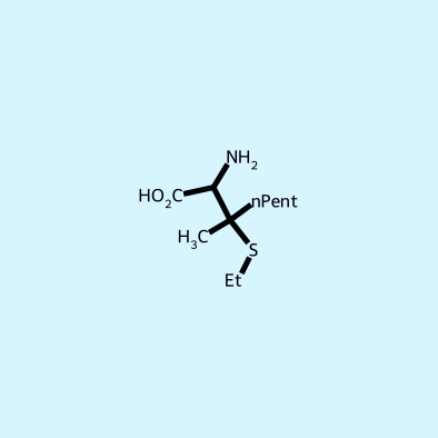 CCCCCC(C)(SCC)C(N)C(=O)O